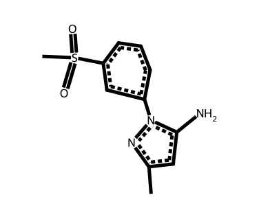 Cc1cc(N)n(-c2cccc(S(C)(=O)=O)c2)n1